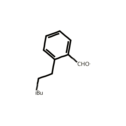 CCC(C)CCc1ccccc1[C]=O